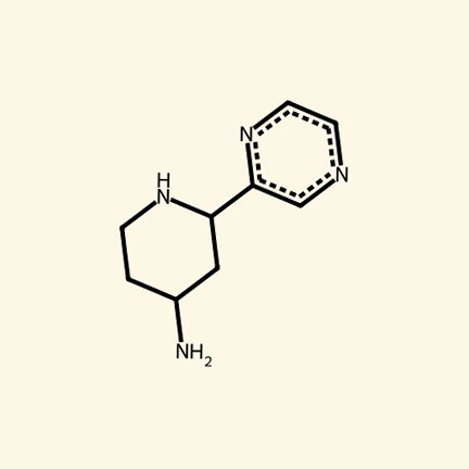 NC1CCNC(c2cnccn2)C1